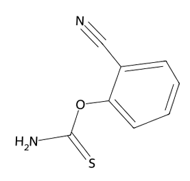 N#Cc1ccccc1OC(N)=S